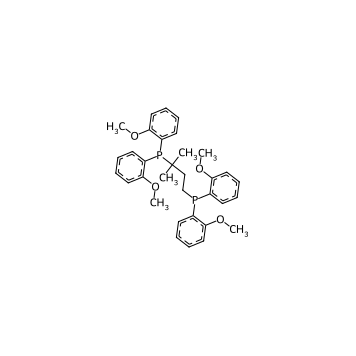 COc1ccccc1P(CCC(C)(C)P(c1ccccc1OC)c1ccccc1OC)c1ccccc1OC